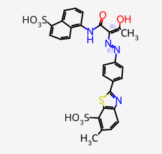 C/C(O)=C(\N=N\c1ccc(-c2nc3ccc(C)c(S(=O)(=O)O)c3s2)cc1)C(=O)Nc1cccc2c(S(=O)(=O)O)cccc12